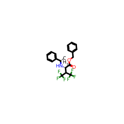 C[C@H](N[C@H](C(=O)OCc1ccccc1)C(C(F)(F)F)C(F)(F)F)c1ccccc1